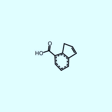 O=C(O)c1cccc2c1CC=C2